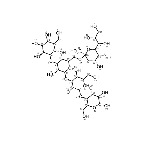 C[C@H]1C(O[C@@H]2OC(CO)[C@H](O)C(O)[C@@H]2O)[C@H](O)C(CO[C@]2(C(=O)O)C[C@@H](O)[C@@H](N)C([C@H](O)[C@H](O)CO)O2)O[C@H]1O[C@H](C(O)CO[C@@H]1C(CO)O[C@@H](O)C(O)[C@H]1O)[C@@H](O)C(O)CO